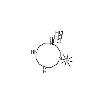 Cl.Cl.Cl.[CH3][Ti]([CH3])([CH3])([CH3])([CH3])([CH3])([CH3])[N]1CCNCCNCCNCC1